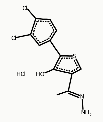 CC(=NN)c1csc(-c2ccc(Cl)c(Cl)c2)c1O.Cl